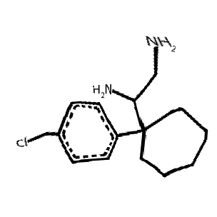 NCC(N)C1(c2ccc(Cl)cc2)CCCCC1